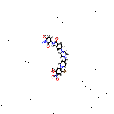 COc1cc(N2CCC(CN3CCN(c4ccc5c(c4)CN(C4CCC(=O)NC4=O)C5=O)CC3)CC2)c(Br)cc1[N+](=O)[O-]